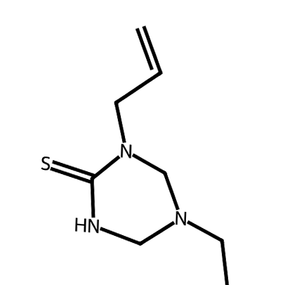 C=CCN1CN(CC)CNC1=S